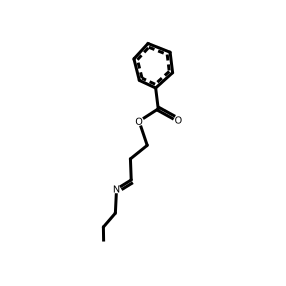 CCCN=CCCOC(=O)c1ccccc1